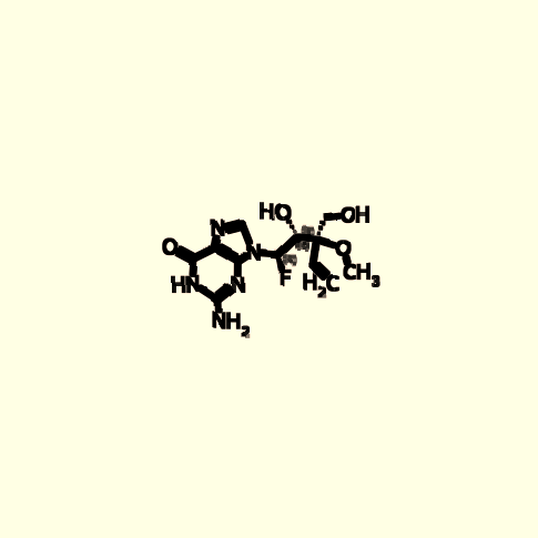 C=C[C@](CO)(OC)[C@@H](O)[C@@H](F)n1cnc2c(=O)[nH]c(N)nc21